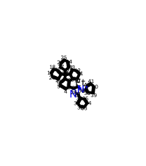 CCC1C(c2cccc3c2-c2ccccc2C3(c2ccccc2)C2C=CC=CC2)=NC(c2ccccc2)=[N+]1c1ccccc1